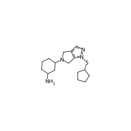 NC1CCCC(N2Cc3cnn(SC4CCCC4)c3C2)C1